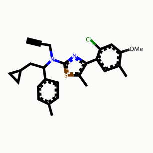 C#CCN(c1nc(-c2cc(C)c(OC)cc2Cl)c(C)s1)C(CC1CC1)c1ccc(C)cc1